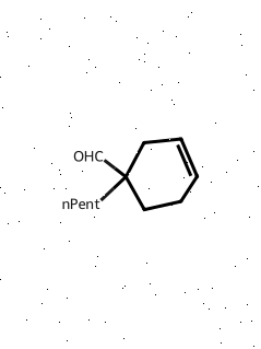 CCCCCC1(C=O)CC=CCC1